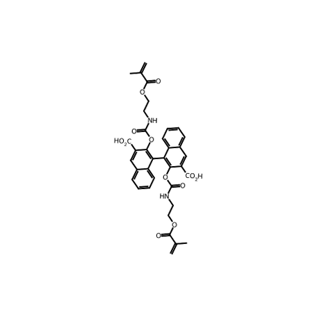 C=C(C)C(=O)OCCNC(=O)Oc1c(C(=O)O)cc2ccccc2c1-c1c(OC(=O)NCCOC(=O)C(=C)C)c(C(=O)O)cc2ccccc12